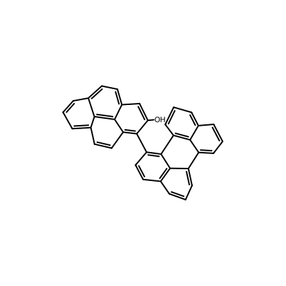 Oc1cc2ccc3cccc4ccc(c1-c1ccc5cccc6c7cccc8cccc(c1c56)c87)c2c34